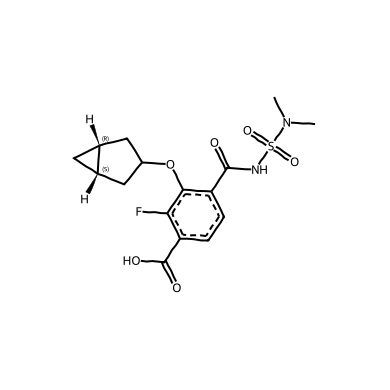 CN(C)S(=O)(=O)NC(=O)c1ccc(C(=O)O)c(F)c1OC1C[C@@H]2C[C@@H]2C1